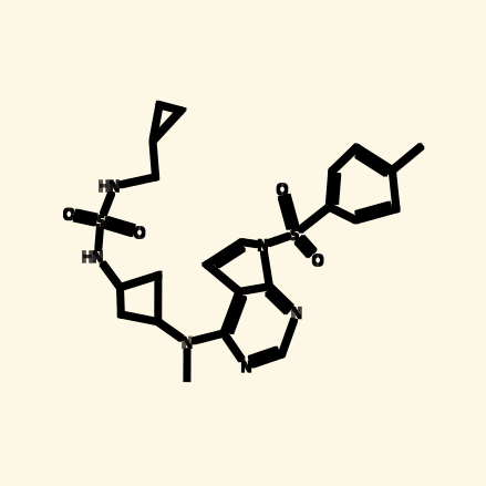 Cc1ccc(S(=O)(=O)n2ccc3c(N(C)C4CC(NS(=O)(=O)NCC5CC5)C4)ncnc32)cc1